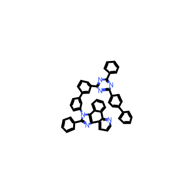 c1ccc(-c2ccc(-c3nc(-c4ccccc4)nc(-c4cccc(-c5cccc(-n6c(-c7ccccc7)nc7c8cccnc8c8ccccc8c76)c5)c4)n3)cc2)cc1